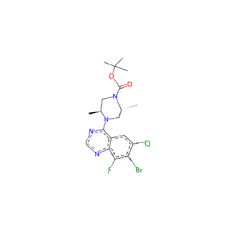 C[C@@H]1CN(c2ncnc3c(F)c(Br)c(Cl)cc23)[C@@H](C)CN1C(=O)OC(C)(C)C